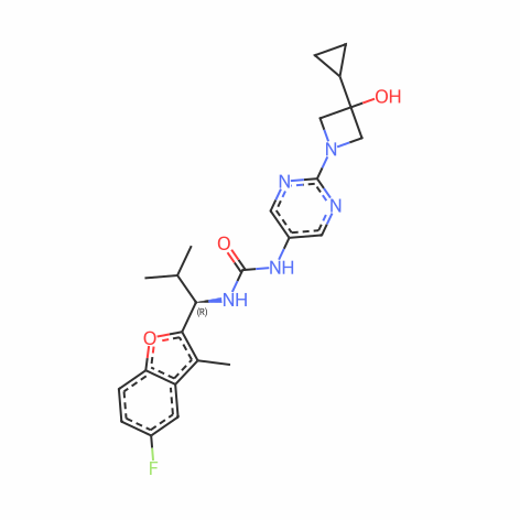 Cc1c([C@H](NC(=O)Nc2cnc(N3CC(O)(C4CC4)C3)nc2)C(C)C)oc2ccc(F)cc12